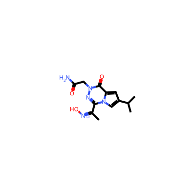 C/C(=N/O)c1nn(CC(N)=O)c(=O)c2cc(C(C)C)cn12